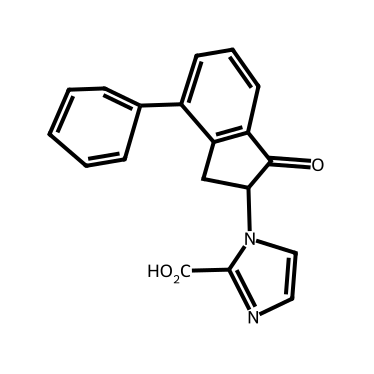 O=C(O)c1nccn1C1Cc2c(cccc2-c2ccccc2)C1=O